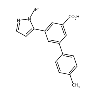 Cc1ccc(-c2cc(C(=O)O)cc(-c3ccnn3C(C)C)c2)cc1